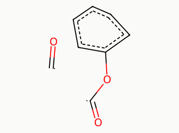 O=[C]Oc1ccccc1.[CH]=O